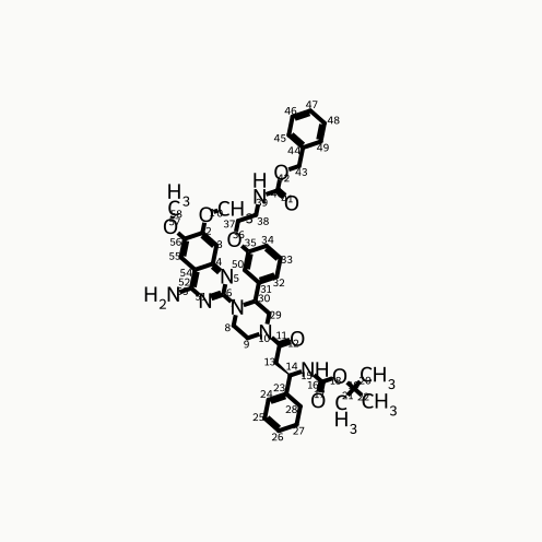 COc1cc2nc(N3CCN(C(=O)C[C@@H](NC(=O)OC(C)(C)C)C4=CC=CCC4)CC3c3cccc(OCCNC(=O)OCc4ccccc4)c3)nc(N)c2cc1OC